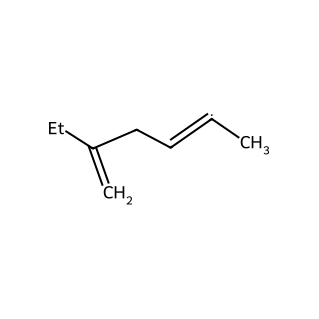 C=C(CC)CC=[C]C